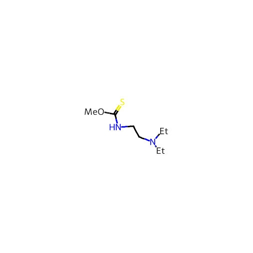 CCN(CC)CCNC(=S)OC